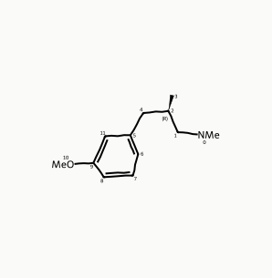 CNC[C@H](C)Cc1cccc(OC)c1